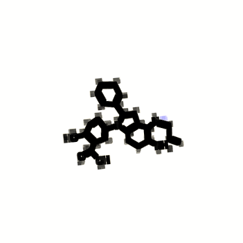 C=C/C=N\C1=C(N)CCc2c1cc(-c1ccccc1)n2-c1ccc(O)c(C(=O)O)c1